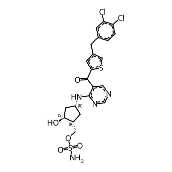 NS(=O)(=O)OC[C@H]1C[C@@H](Nc2ncncc2C(=O)c2cc(Cc3ccc(Cl)c(Cl)c3)cs2)C[C@@H]1O